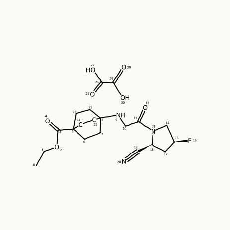 CCOC(=O)C12CCC(NCC(=O)N3C[C@@H](F)C[C@H]3C#N)(CC1)CC2.O=C(O)C(=O)O